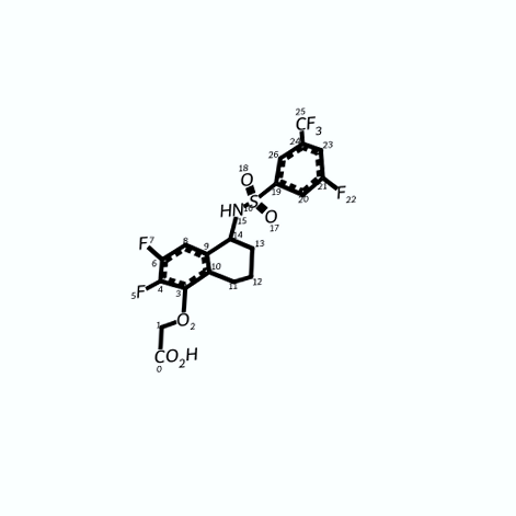 O=C(O)COc1c(F)c(F)cc2c1CCCC2NS(=O)(=O)c1cc(F)cc(C(F)(F)F)c1